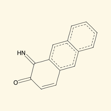 N=C1C(=O)C=Cc2cc3ccccc3cc21